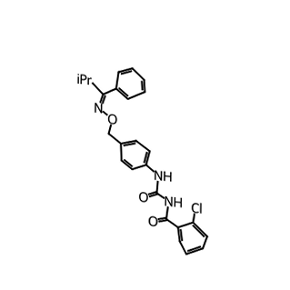 CC(C)/C(=N/OCc1ccc(NC(=O)NC(=O)c2ccccc2Cl)cc1)c1ccccc1